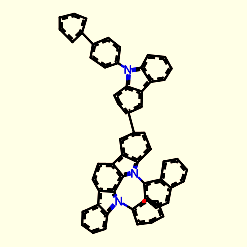 c1ccc(-c2ccc(-n3c4ccccc4c4cc(-c5ccc6c(c5)c5ccc7c8ccccc8n(-c8ccccc8)c7c5n6-c5cccc6ccccc56)ccc43)cc2)cc1